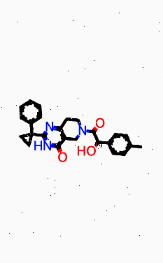 Cc1ccc([C@@H](O)C(=O)N2CCc3nc(C4(c5ccccc5)CC4)[nH]c(=O)c3C2)cc1